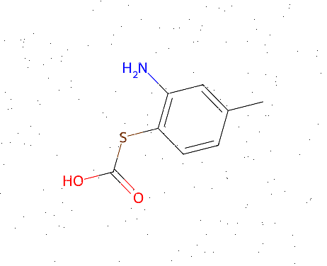 Cc1ccc(SC(=O)O)c(N)c1